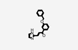 O=C(C=Cc1ncc[nH]1)c1cccc(OCc2ccccc2)c1